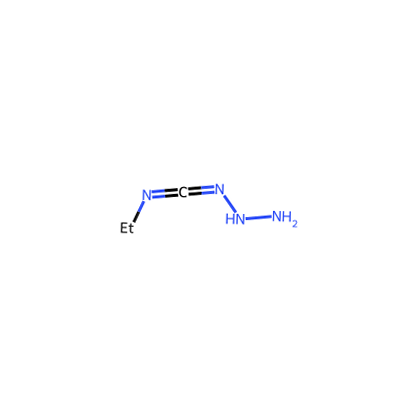 CCN=C=NNN